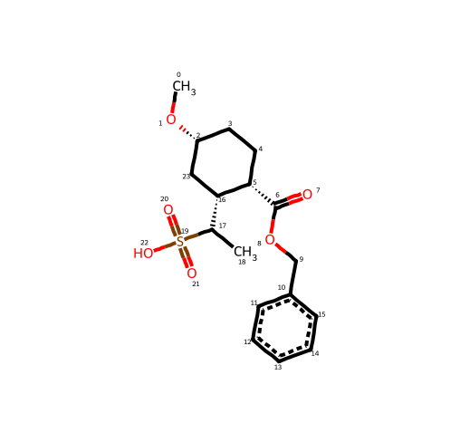 CO[C@@H]1CC[C@H](C(=O)OCc2ccccc2)[C@H](C(C)S(=O)(=O)O)C1